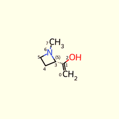 C=C(O)[C@@H]1CCN1C